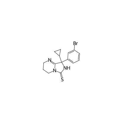 S=C1NC(c2cccc(Br)c2)(C2CC2)C2=NCCCN12